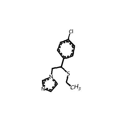 CCSC(Cn1ccnc1)c1ccc(Cl)cc1